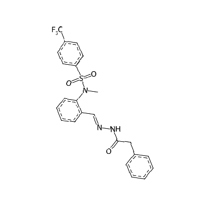 CN(c1ccccc1C=NNC(=O)Cc1ccccc1)S(=O)(=O)c1ccc(C(F)(F)F)cc1